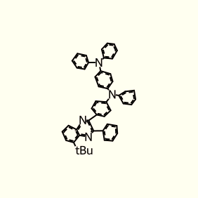 CC(C)(C)c1cccc2nc(-c3ccc(N(c4ccccc4)c4ccc(N(c5ccccc5)c5ccccc5)cc4)cc3)c(-c3ccccc3)nc12